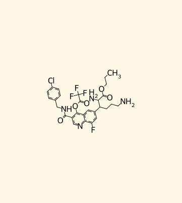 CCCOC(=O)C(N)C(CCCN)c1cc(F)c2ncc(C(=O)NCc3ccc(Cl)cc3)c(OC(=O)C(F)(F)F)c2c1